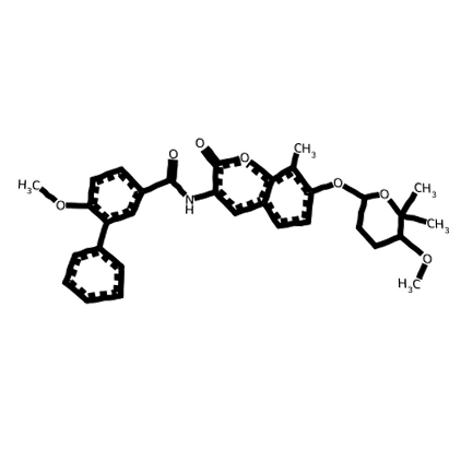 COc1ccc(C(=O)Nc2cc3ccc(OC4CCC(OC)C(C)(C)O4)c(C)c3oc2=O)cc1-c1ccccc1